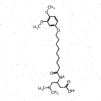 COc1ccc(OCCCCCCCCC(=O)NC(CC(=O)O)CN(C)C)cc1OC